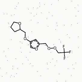 FC(F)(F)COOCc1cc(OCC2CCCO2)co1